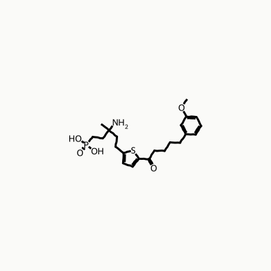 COc1cccc(CCCCC(=O)c2ccc(CCC(C)(N)CCP(=O)(O)O)s2)c1